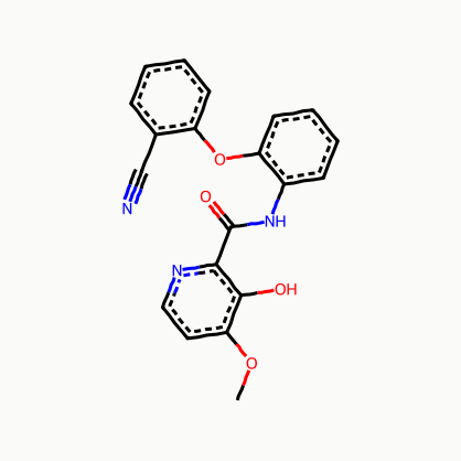 COc1ccnc(C(=O)Nc2ccccc2Oc2ccccc2C#N)c1O